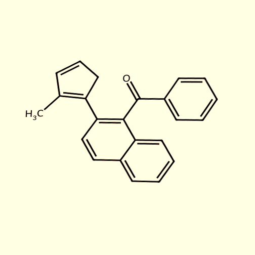 CC1=C(c2ccc3ccccc3c2C(=O)c2ccccc2)CC=C1